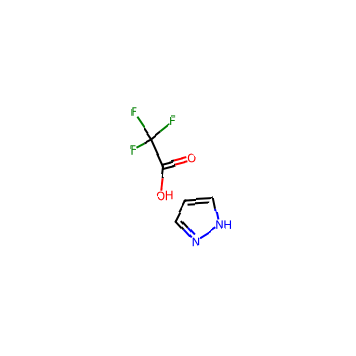 O=C(O)C(F)(F)F.c1cn[nH]c1